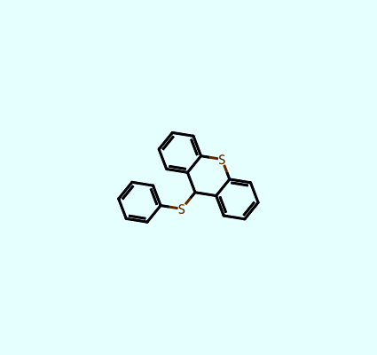 c1ccc(SC2c3ccccc3Sc3ccccc32)cc1